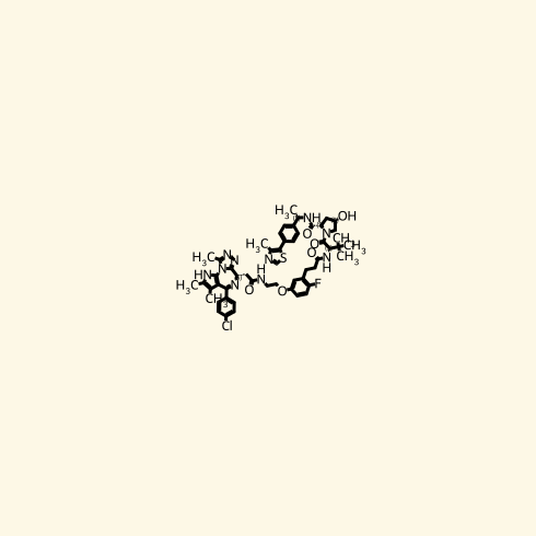 Cc1ncsc1-c1ccc([C@H](C)NC(=O)[C@@H]2C[C@@H](O)CN2C(=O)[C@@H](NC(=O)CCc2cc(OCCNC(=O)C[C@@H]3N=C(c4ccc(Cl)cc4)c4c([nH]c(C)c4C)-n4c(C)nnc43)ccc2F)C(C)(C)C)cc1